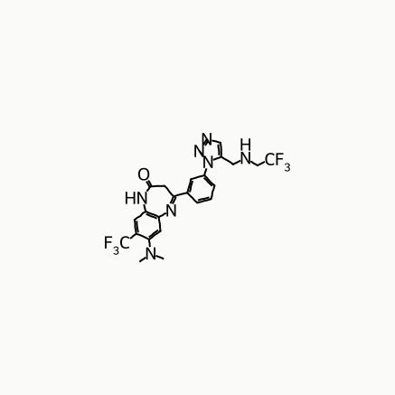 CN(C)c1cc2c(cc1C(F)(F)F)NC(=O)CC(c1cccc(-n3nncc3CNCC(F)(F)F)c1)=N2